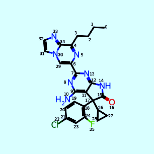 CCCCc1nc(-c2nc(N)c3c(n2)NC(=O)C3(c2ccc(Cl)cc2F)C2CC2)cn2ccnc12